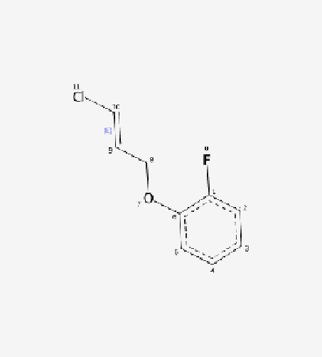 Fc1[c]cccc1OC/C=C/Cl